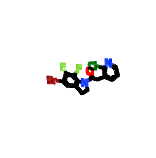 O=C(Cc1cccnc1Cl)N1CCc2cc(Br)c(F)c(F)c21